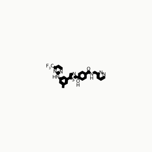 Cc1cc(Nc2nccc(C(F)(F)F)n2)cc(-c2cnc(C3(O)CCC(C(=O)NCc4cccnn4)CC3)s2)c1